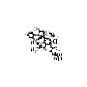 CCS(=O)(=O)N1CCC(c2c(C)cc(-c3ncc(Cl)c(-c4ccccc4S(=O)(=O)C(C)C)n3)c3c2CC(C)O3)CC1.NN